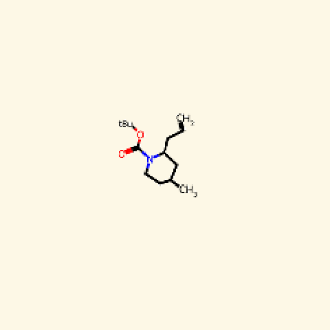 C=CCC1CC(C)CCN1C(=O)OC(C)(C)C